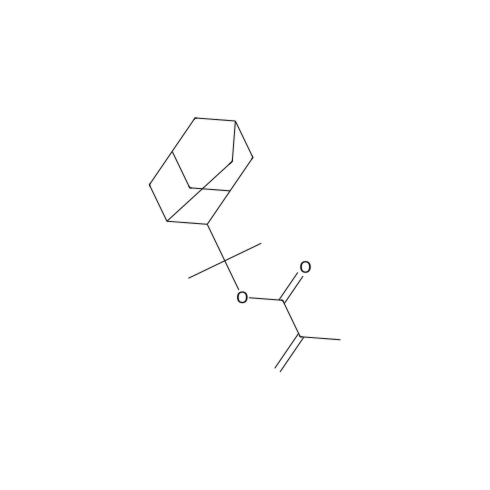 C=C(C)C(=O)OC(C)(C)C1C2CC3CC(C2)CC1C3